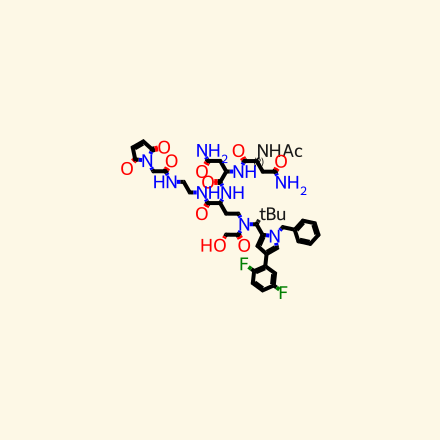 CC(=O)N[C@H](CC(N)=O)C(=O)NC(CC(N)=O)C(=O)NC(CCN(C(=O)CO)C(c1cc(-c2cc(F)ccc2F)cn1Cc1ccccc1)C(C)(C)C)C(=O)NCCNC(=O)CN1C(=O)C=CC1=O